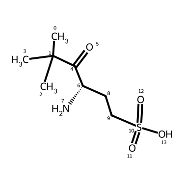 CC(C)(C)C(=O)[C@@H](N)CCS(=O)(=O)O